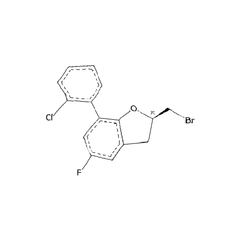 Fc1cc2c(c(-c3ccccc3Cl)c1)O[C@@H](CBr)C2